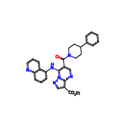 CCOC(=O)c1cnn2c(Nc3cccc4ncccc34)c(C(=O)N3CCC(c4ccccc4)CC3)cnc12